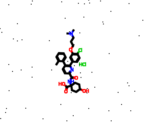 Cc1ccccc1-c1ccc(C(=O)NC2(C(=O)O)CCC(O)CC2)nc1-c1ccc(Cl)c(OCCCN(C)C)c1.Cl